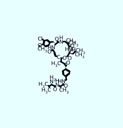 COc1ccc(C[C@H]2NC(=O)/C=C/C[C@@H]([C@H](C)[C@H]3O[C@@H]3c3ccc(CNC(=O)C(C)NC(=O)[C@@H](N)C(C)C)cc3)OC(=O)[C@H](CC(C)(C)C)NC(=O)C(C)(C)CNC2=O)cc1Cl